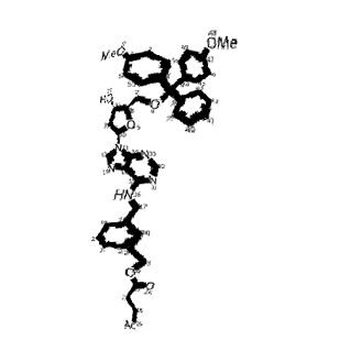 COc1ccc(C(OC[C@H]2O[C@@H](n3cnc4c(NCc5cccc(COC(=O)CCC(C)=O)c5)ncnc43)C[C@@H]2O)(c2ccccc2)c2ccc(OC)cc2)cc1